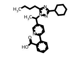 CCCCc1nc(C2CCCCC2)nn1C(C)c1ccc(-c2ccccc2C(=O)O)nc1